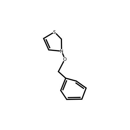 C1=CN(OCc2ccccc2)CS1